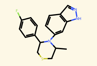 CC1[CH]SCC(c2ccc(F)cc2)N1c1ccc2cn[nH]c2c1